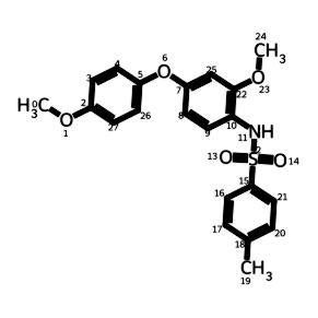 COc1ccc(Oc2ccc(NS(=O)(=O)c3ccc(C)cc3)c(OC)c2)cc1